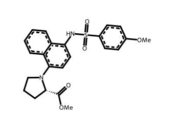 COC(=O)[C@@H]1CCCN1c1ccc(NS(=O)(=O)c2ccc(OC)cc2)c2ccccc12